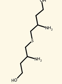 NC(CCO)CSCC(N)CCO